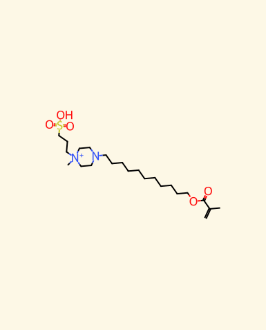 C=C(C)C(=O)OCCCCCCCCCCCN1CC[N+](C)(CCCS(=O)(=O)O)CC1